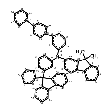 CC1(C)c2ccccc2-c2ccc(N(c3cccc(-c4ccc(-c5ccccc5)cc4)c3)c3cccc(C4(c5ccccc5)c5ccccc5-c5ccccc54)c3)cc21